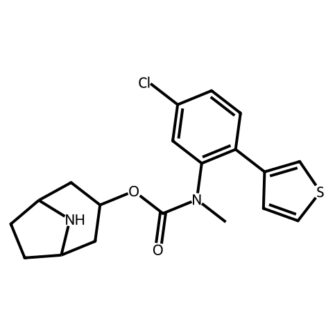 CN(C(=O)OC1CC2CCC(C1)N2)c1cc(Cl)ccc1-c1ccsc1